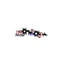 C=CCOC(=O)C1(C)CCC(NC(=O)C=Cc2ccc(O)c(OC)c2)CC1